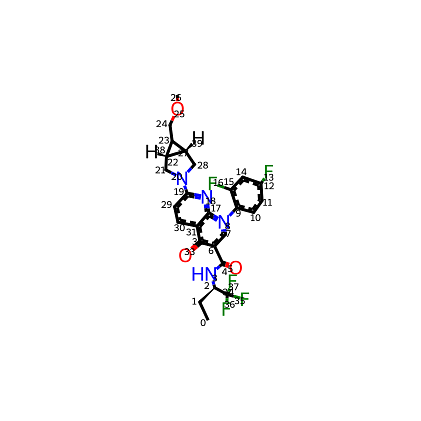 CC[C@@H](NC(=O)c1cn(-c2ccc(F)cc2F)c2nc(N3C[C@@H]4C(COC)[C@@H]4C3)ccc2c1=O)C(F)(F)F